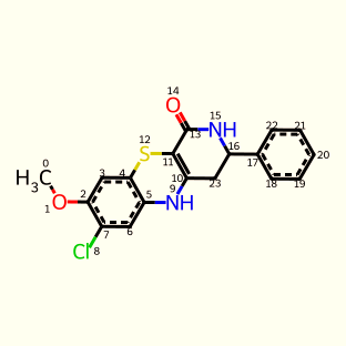 COc1cc2c(cc1Cl)NC1=C(S2)C(=O)NC(c2ccccc2)C1